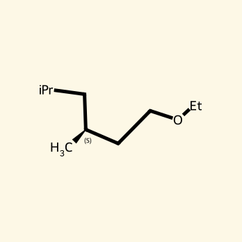 CCOCC[C@@H](C)CC(C)C